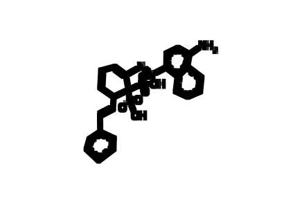 Nc1ccc(N=NC2=CC=CC(C=Cc3ccccc3)C2(S(=O)(=O)O)S(=O)(=O)O)c2ccccc12